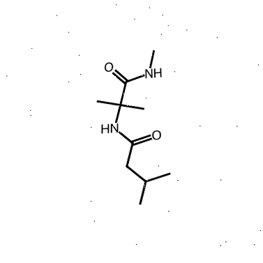 CNC(=O)C(C)(C)NC(=O)CC(C)C